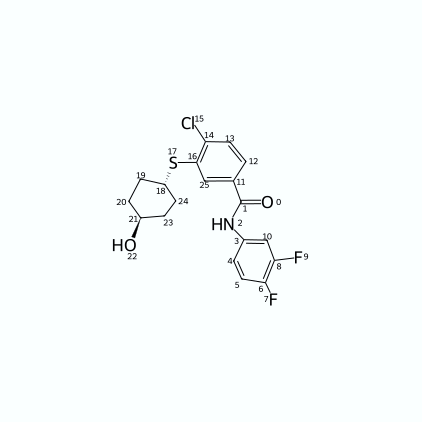 O=C(Nc1ccc(F)c(F)c1)c1ccc(Cl)c(S[C@H]2CC[C@H](O)CC2)c1